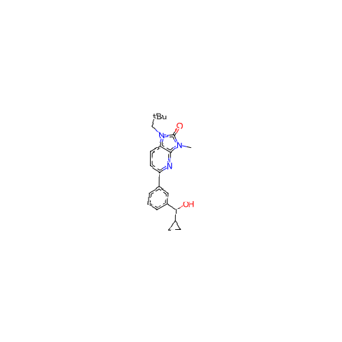 Cn1c(=O)n(CC(C)(C)C)c2ccc(-c3cccc(C(O)C4CC4)c3)nc21